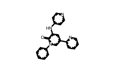 O=c1c(Nc2ccncc2)cc(-c2ccccn2)cn1-c1ccccc1